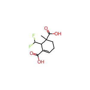 CC1(C(=O)O)CCC=C(C(=O)O)C1C(F)F